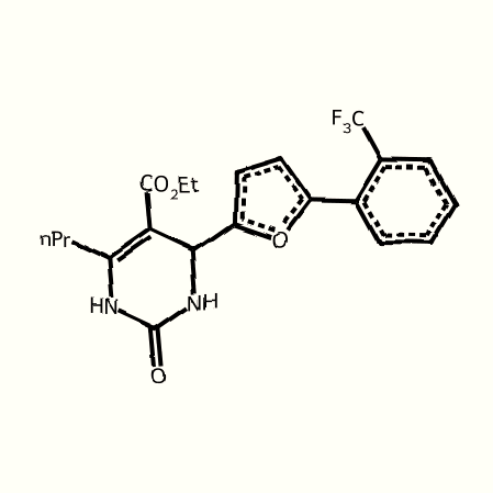 CCCC1=C(C(=O)OCC)C(c2ccc(-c3ccccc3C(F)(F)F)o2)NC(=O)N1